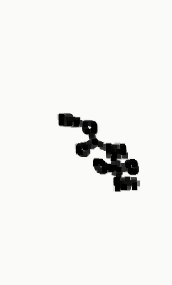 CC(C)(C)OC(=O)NS([NH])(=O)=O